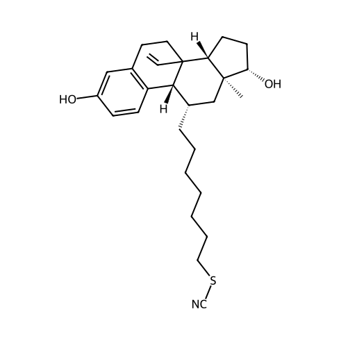 C=CC12CCc3cc(O)ccc3[C@H]1[C@@H](CCCCCCCSC#N)C[C@]1(C)[C@@H](O)CC[C@@H]21